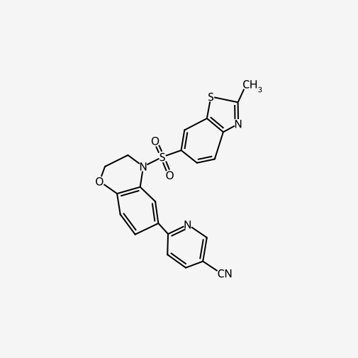 Cc1nc2ccc(S(=O)(=O)N3CCOc4ccc(-c5ccc(C#N)cn5)cc43)cc2s1